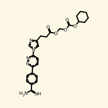 N=C(N)c1ccc(-c2ccc(-n3cnc(CCC(=O)OCOC(=O)OC4CCCCC4)c3)nn2)cc1